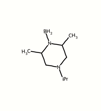 BN1C(C)CN(C(C)C)CC1C